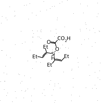 CCC=C(CC)[SiH](OC(=O)C(=O)O)C(=CCC)CC